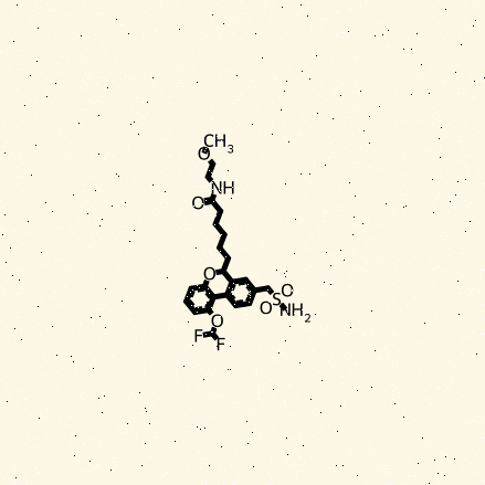 COCCNC(=O)CCCCCC1Oc2cccc(OC(F)F)c2-c2ccc(CS(N)(=O)=O)cc21